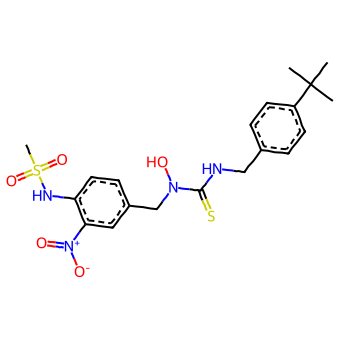 CC(C)(C)c1ccc(CNC(=S)N(O)Cc2ccc(NS(C)(=O)=O)c([N+](=O)[O-])c2)cc1